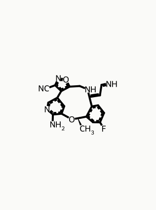 C[C@H]1Oc2cc(cnc2N)-c2c(C#N)noc2CN/C(=C\C=N)c2ccc(F)cc21